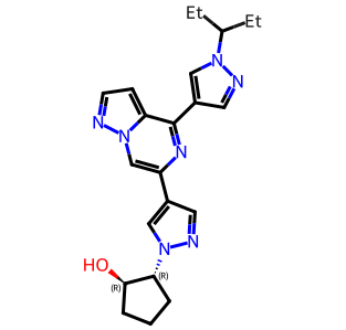 CCC(CC)n1cc(-c2nc(-c3cnn([C@@H]4CCC[C@H]4O)c3)cn3nccc23)cn1